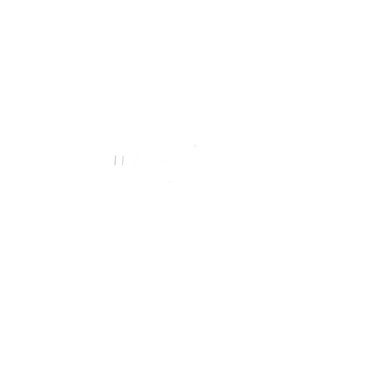 CC1(c2cccc(-c3cccs3)c2)CC1